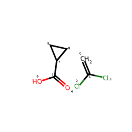 C=C(Cl)Cl.O=C(O)C1CC1